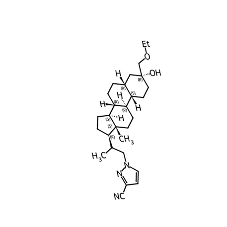 CCOC[C@@]1(O)CC[C@H]2[C@H](CC[C@@H]3[C@@H]2CC[C@]2(C)[C@@H](C(C)Cn4ccc(C#N)n4)CC[C@@H]32)C1